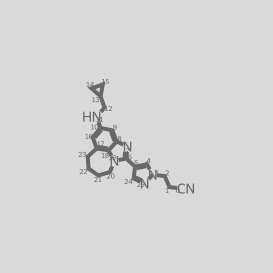 N#CCCn1cc(-c2nc3cc(NCC4CC4)cc4c3n2CCCC4)cn1